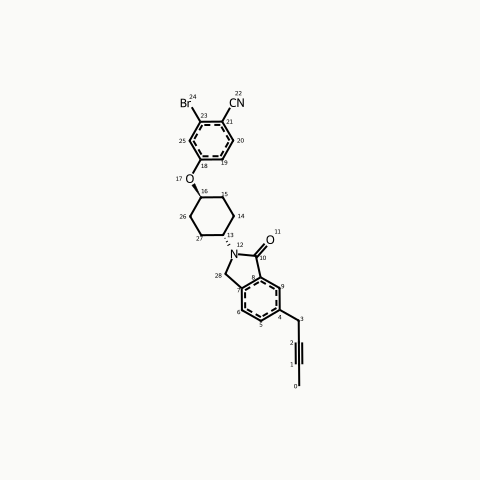 CC#CCc1ccc2c(c1)C(=O)N([C@H]1CC[C@H](Oc3ccc(C#N)c(Br)c3)CC1)C2